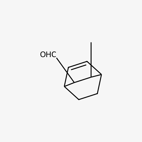 CC1C2C=CC(CC2)C1C=O